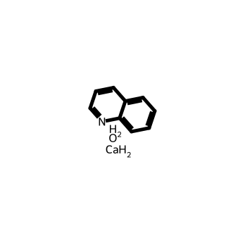 O.[CaH2].c1ccc2ncccc2c1